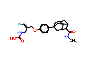 CNC(=O)C1C2CC3CC1CC(c1ccc(OC/C(=C/F)CNC(=O)O)cc1)(C3)C2